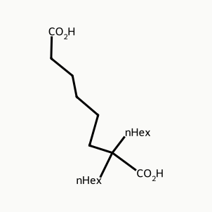 CCCCCCC(CCCCCC)(CCCCCC(=O)O)C(=O)O